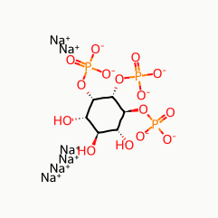 O=P([O-])([O-])O[C@@H]1[C@@H](OP(=O)([O-])[O-])[C@H](O)[C@@H](O)[C@H](O)[C@@H]1OP(=O)([O-])[O-].[Na+].[Na+].[Na+].[Na+].[Na+].[Na+]